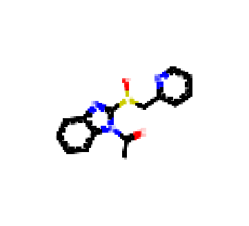 CC(=O)n1c([S+]([O-])Cc2ccccn2)nc2ccccc21